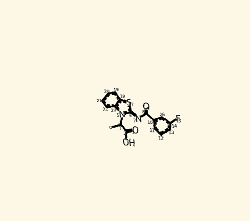 CC(C(=O)O)n1/c(=N/C(=O)c2cccc(F)c2)sc2ccccc21